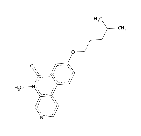 CC(C)CCCOc1ccc2c(c1)c(=O)n(C)c1cnccc21